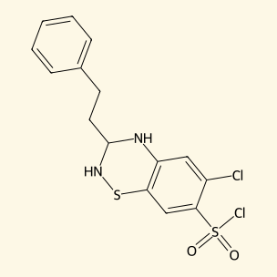 O=S(=O)(Cl)c1cc2c(cc1Cl)NC(CCc1ccccc1)NS2